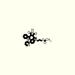 CC(=O)OCCCn1nc(C2=C(c3cn(-c4cccnc4)c4ccccc34)C(=O)NC2=O)c2ccccc21